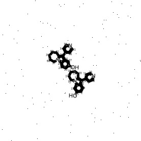 Oc1ccc2c(-c3ccncc3)c3n(c2c1)CCCCC3.Oc1ccc2c(c1)c(-c1ccncc1)c1n2CCCCC1